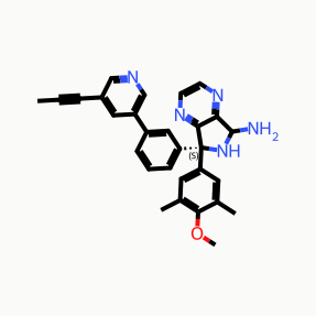 CC#Cc1cncc(-c2cccc([C@@]3(c4cc(C)c(OC)c(C)c4)NC(N)c4nccnc43)c2)c1